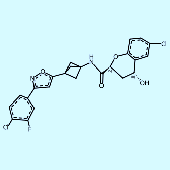 O=C(NC12CC(c3cc(-c4ccc(Cl)c(F)c4)no3)(C1)C2)[C@@H]1C[C@@H](O)c2cc(Cl)ccc2O1